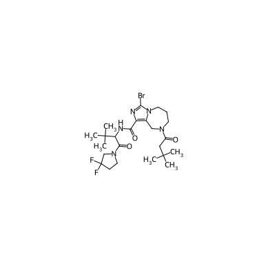 CC(C)(C)CC(=O)N1CCCn2c(Br)nc(C(=O)NC(C(=O)N3CCC(F)(F)C3)C(C)(C)C)c2C1